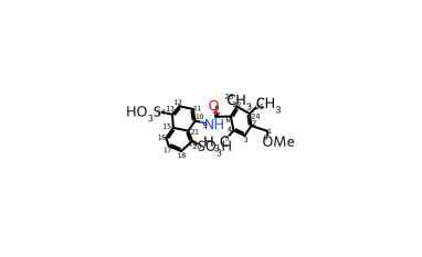 COCc1cc(C)c(C(=O)Nc2ccc(S(=O)(=O)O)c3cccc(S(=O)(=O)O)c23)c(C)c1C